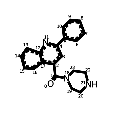 O=C(c1cc(-c2ccccc2)nc2ccccc12)N1CCNCC1